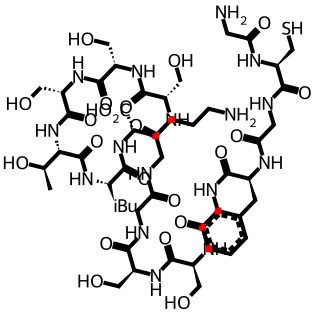 CC[C@H](C)[C@H](NC(=O)[C@@H](NC(=O)[C@H](CO)NC(=O)[C@H](CO)NC(=O)[C@H](CO)NC(=O)CNC(=O)CNC(=O)[C@H](CO)NC(=O)[C@H](CO)NC(=O)CNC(=O)[C@H](Cc1ccccc1)NC(=O)CNC(=O)[C@H](CS)NC(=O)CN)[C@@H](C)O)C(=O)N[C@@H](CCCCN)C(=O)O